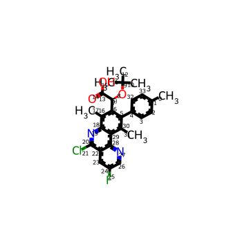 Cc1ccc(-c2c([C@H](OC(C)(C)C)C(=O)O)c(C)c3nc(Cl)c4cc(F)cnc4c3c2C)cc1